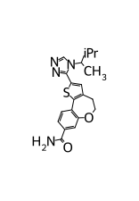 CC(C)C(C)n1cnnc1-c1cc2c(s1)-c1ccc(C(N)=O)cc1OCC2